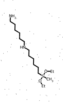 CCO[Si](C)(CCCCCCNCCCCCCN)OCC